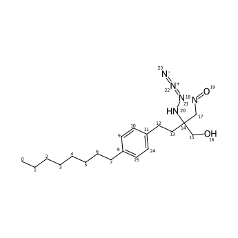 CCCCCCCCc1ccc(CCC(CO)(CN=O)NN=[N+]=[N-])cc1